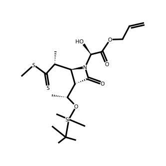 C=CCOC(=O)[C@H](O)N1C(=O)[C@H]([C@@H](C)O[Si](C)(C)C(C)(C)C)[C@H]1[C@@H](C)C(=S)SC